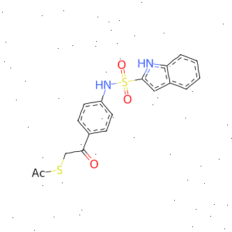 CC(=O)SCC(=O)c1ccc(NS(=O)(=O)c2cc3ccccc3[nH]2)cc1